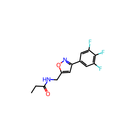 CCC(=O)NCc1cc(-c2cc(F)c(F)c(F)c2)no1